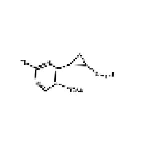 CCOC(=O)C1CC1c1nc(Cl)ccc1OC